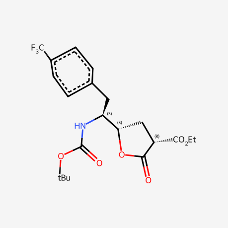 CCOC(=O)[C@H]1C[C@@H]([C@H](Cc2ccc(C(F)(F)F)cc2)NC(=O)OC(C)(C)C)OC1=O